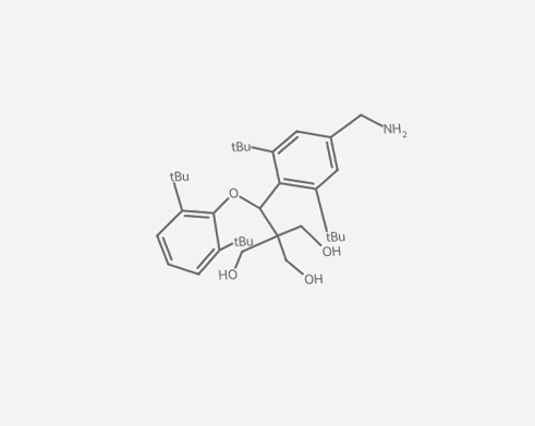 CC(C)(C)c1cccc(C(C)(C)C)c1OC(c1c(C(C)(C)C)cc(CN)cc1C(C)(C)C)C(CO)(CO)CO